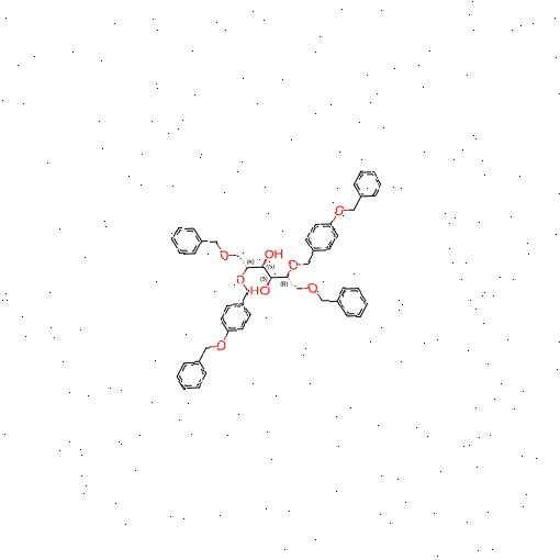 O[C@@H]([C@H](O)[C@@H](COCc1ccccc1)OCc1ccc(OCc2ccccc2)cc1)[C@@H](COCc1ccccc1)OCc1ccc(OCc2ccccc2)cc1